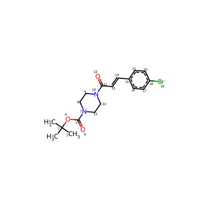 CC(C)(C)OC(=O)N1CCN(C(=O)C=Cc2ccc(Br)cc2)CC1